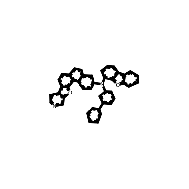 c1ccc(-c2cccc(N(c3ccc4c(ccc5ccc6c7ccncc7oc6c54)c3)c3cccc4c3oc3ccccc34)c2)cc1